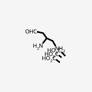 CC(=O)O.CC(=O)O.CC(=O)O.NCC(N)CC=O